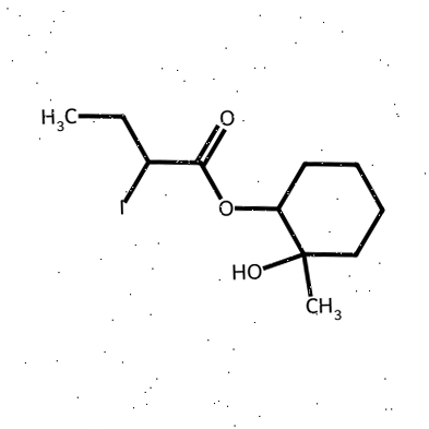 CCC(I)C(=O)OC1CCCCC1(C)O